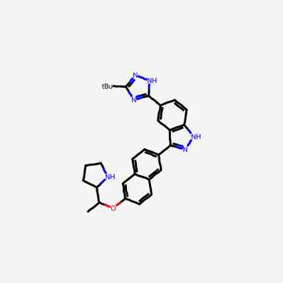 CC(Oc1ccc2cc(-c3n[nH]c4ccc(-c5nc(C(C)(C)C)n[nH]5)cc34)ccc2c1)C1CCCN1